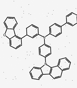 C1=CC(N(c2ccc(-c3ccccc3)cc2)c2ccc(-n3c4ccccc4c4ccc5ccccc5c43)cc2)=CC(c2cccc3oc4ccccc4c23)C1